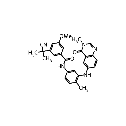 COc1cc(C(=O)Nc2ccc(C)c(Nc3ccc4ncn(C)c(=O)c4c3)c2)cc(C(C)(C)C#N)c1